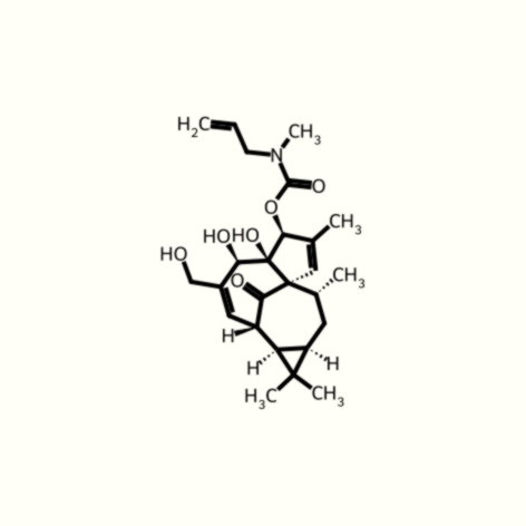 C=CCN(C)C(=O)O[C@H]1C(C)=C[C@]23C(=O)[C@@H](C=C(CO)[C@@H](O)[C@]12O)[C@H]1[C@@H](C[C@H]3C)C1(C)C